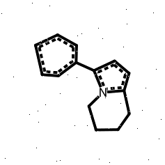 c1ccc(-c2ccc3n2CCCC3)cc1